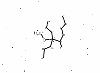 CCCCC(C)C(CCC)(CCC)O[SiH3]